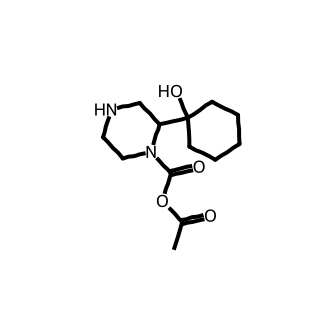 CC(=O)OC(=O)N1CCNCC1C1(O)CCCCC1